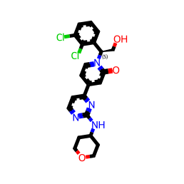 O=c1cc(-c2ccnc(NC3CCOCC3)n2)ccn1[C@H](CO)c1cccc(Cl)c1Cl